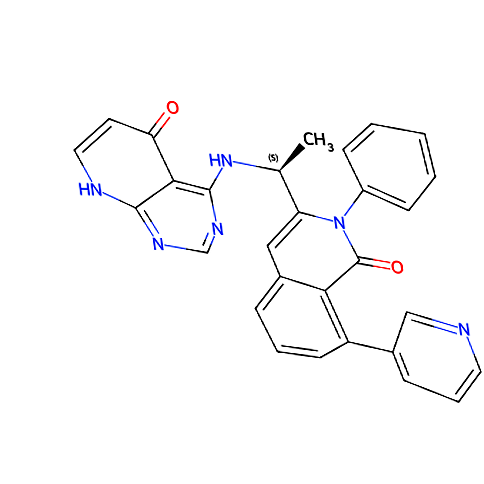 C[C@H](Nc1ncnc2[nH]ccc(=O)c12)c1cc2cccc(-c3cccnc3)c2c(=O)n1-c1ccccc1